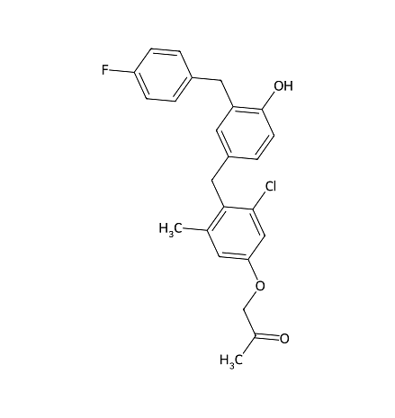 CC(=O)COc1cc(C)c(Cc2ccc(O)c(Cc3ccc(F)cc3)c2)c(Cl)c1